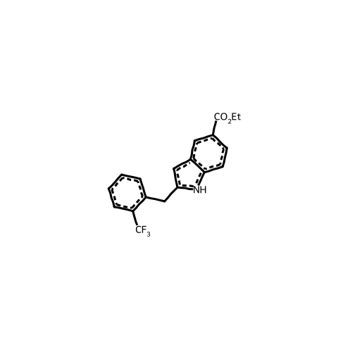 CCOC(=O)c1ccc2[nH]c(Cc3ccccc3C(F)(F)F)cc2c1